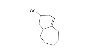 CC(=O)C1CC=C2CCCCCC2C1